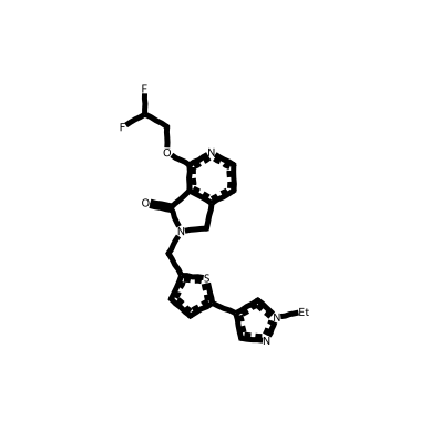 CCn1cc(-c2ccc(CN3Cc4ccnc(OCC(F)F)c4C3=O)s2)cn1